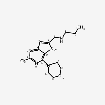 CCCNCc1cc2nc(Cl)nc(N3CCOCC3)c2s1